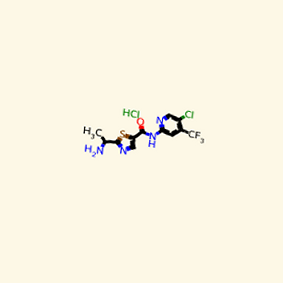 CC(N)c1ncc(C(=O)Nc2cc(C(F)(F)F)c(Cl)cn2)s1.Cl